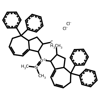 CC1CC2C(=CC=CCC2(c2ccccc2)c2ccccc2)[CH]1[Zr+2]([CH]1C2=CC=CCC(c3ccccc3)(c3ccccc3)C2CC1C)=[Si](C)C.[Cl-].[Cl-]